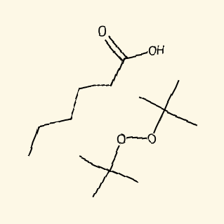 CC(C)(C)OOC(C)(C)C.CCCCCC(=O)O